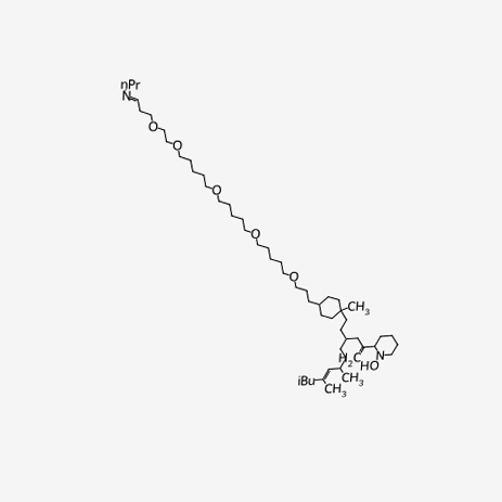 C=C(CC(CCC(C)/C=C(\C)C(C)CC)CCC1(C)CCC(CCCOCCCCCOCCCCCOCCCCCOCCOCC/C=N/CCC)CC1)C1CCCCN1O